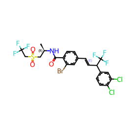 C[C@H](CS(=O)(=O)CC(F)(F)F)NC(=O)c1ccc(/C=C/C(c2ccc(Cl)c(Cl)c2)C(F)(F)F)cc1Br